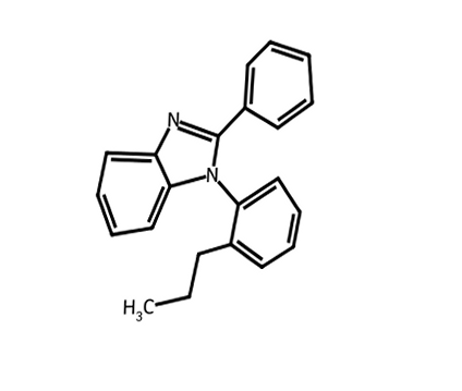 CCCc1ccccc1-n1c(-c2ccccc2)nc2ccccc21